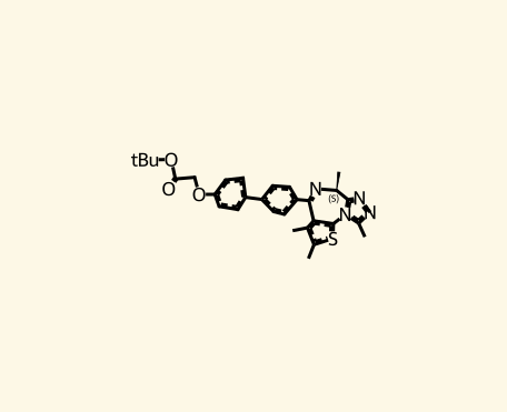 Cc1sc2c(c1C)C(c1ccc(-c3ccc(OCC(=O)OC(C)(C)C)cc3)cc1)=N[C@@H](C)c1nnc(C)n1-2